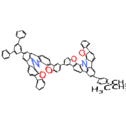 CC(C)(C)c1ccc(-c2cc3c4ccc5c6ccccc6oc5c4n4c3c(c2)c2ccc3c5cc(-c6ccc7oc8c(ccc9c%10cc(-c%11cc(-c%12ccccc%12)cc(-c%12ccccc%12)c%11)cc%11c%12ccc%13c%14ccccc%14oc%13c%12n(c%11%10)c98)c7c6)ccc5oc3c24)cc1